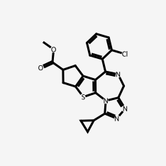 COC(=O)C1Cc2sc3c(c2C1)C(c1ccccc1Cl)=NCc1nnc(C2CC2)n1-3